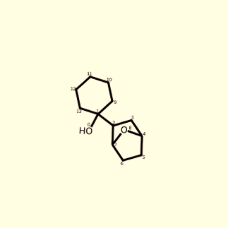 OC1(C2CC3CCC2O3)CCCCC1